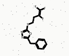 FC(F)=C(F)CCSc1nnc(Cc2ccccc2)o1